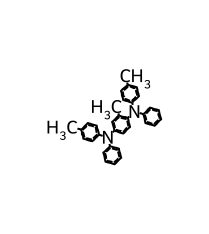 Cc1ccc(N(c2ccccc2)c2ccc(N(c3ccccc3)c3ccc(C)cc3)c(C)c2)cc1